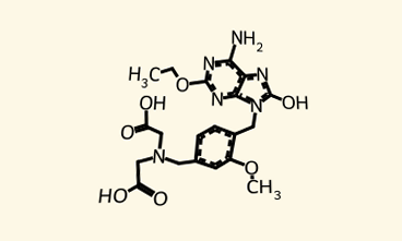 CCOc1nc(N)c2nc(O)n(Cc3ccc(CN(CC(=O)O)CC(=O)O)cc3OC)c2n1